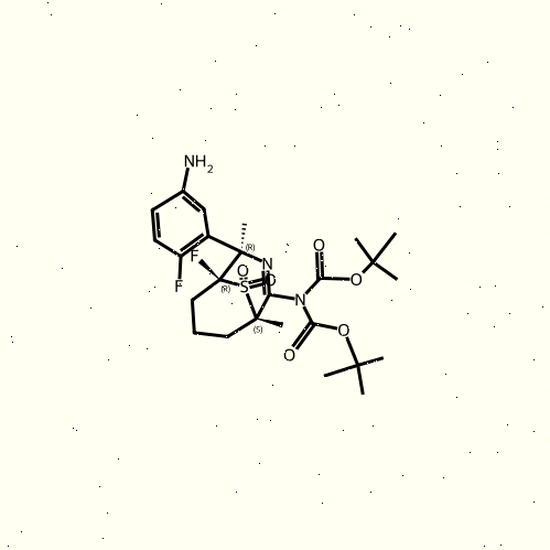 CC(C)(C)OC(=O)N(C(=O)OC(C)(C)C)C1=N[C@](C)(c2cc(N)ccc2F)[C@@]2(F)CCC[C@]1(C)S2(=O)=O